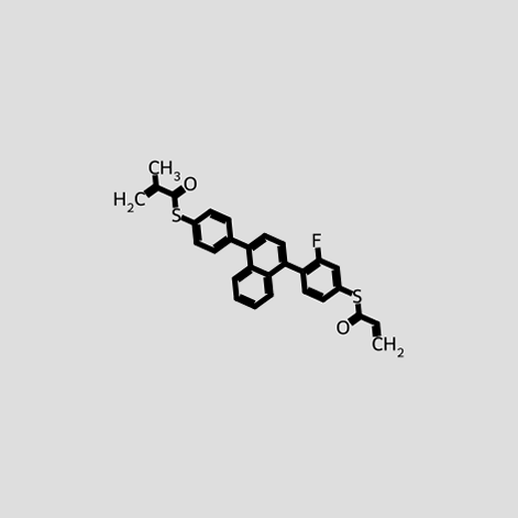 C=CC(=O)Sc1ccc(-c2ccc(-c3ccc(SC(=O)C(=C)C)cc3)c3ccccc23)c(F)c1